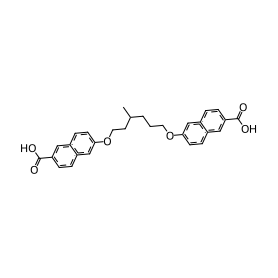 CC(CCCOc1ccc2cc(C(=O)O)ccc2c1)CCOc1ccc2cc(C(=O)O)ccc2c1